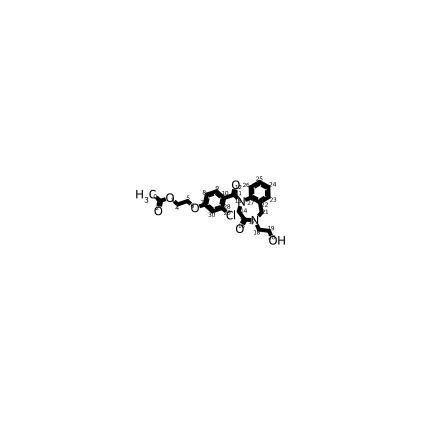 CC(=O)OCCOc1ccc(C(=O)N2CC(=O)N(CCO)Cc3ccccc32)c(Cl)c1